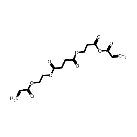 C=CC(=O)OCCOC(=O)CCC(=O)OCCC(=O)OC(=O)C=C